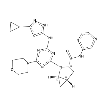 O=C(Nc1cnccn1)[C@@H]1C[C@@H]2C[C@@H]2N1c1nc(Nc2cc(C3CC3)n[nH]2)nc(N2CCOCC2)n1